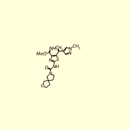 C=C(c1cnn(C)c1)c1sc(NC(=O)N2CCC3(CCOC3)C2)nc1C(=N)OC